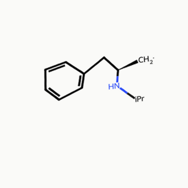 [CH2][C@H](Cc1ccccc1)NC(C)C